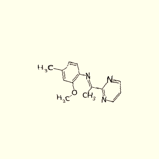 COc1cc(C)ccc1N=C(C)c1ncccn1